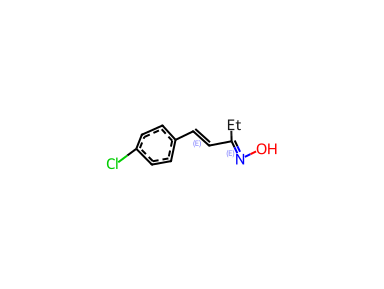 CCC(/C=C/c1ccc(Cl)cc1)=N\O